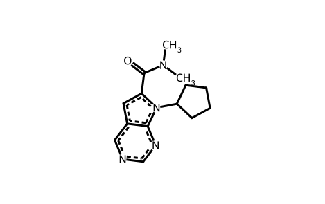 CN(C)C(=O)c1cc2cncnc2n1C1CCCC1